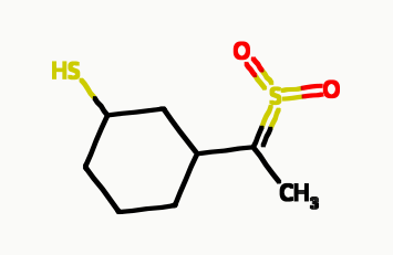 CC(C1CCCC(S)C1)=S(=O)=O